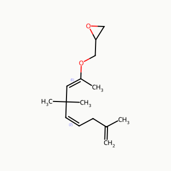 C=C(C)C/C=C\C(C)(C)/C=C(\C)OCC1CO1